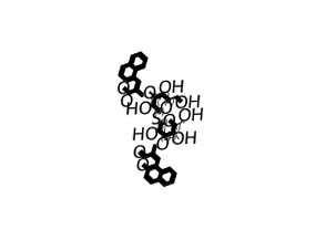 O=c1oc2ccc3ccccc3c2cc1CO[C@H]1[C@@H](O)[C@@H](CO)O[C@@H](S[C@@H]2O[C@H](CO)[C@H](O)[C@H](OCc3cc4c(ccc5ccccc54)oc3=O)[C@H]2O)[C@@H]1O